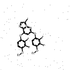 CCOc1ccc(Oc2cc(Oc3ccc(OCC)c(F)c3F)c3ncc(I)n3n2)c(F)c1F